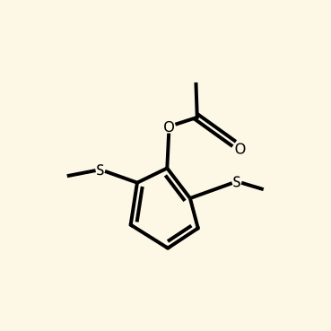 CSc1cccc(SC)c1OC(C)=O